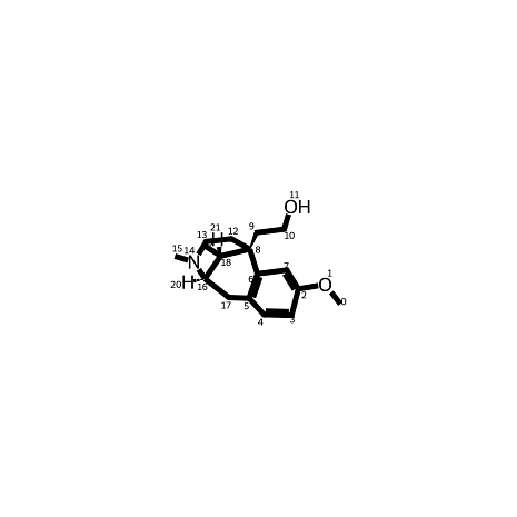 COc1ccc2c(c1)[C@@]1(CCO)CCN(C)[C@H](C2)[C@@H]1C